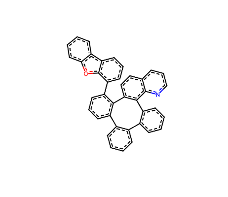 c1ccc2c(c1)-c1ccccc1-c1c(ccc3cccnc13)-c1c-2cccc1-c1cccc2c1oc1ccccc12